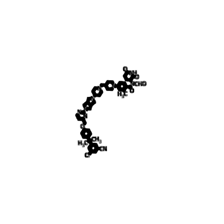 Cc1cc(N2CCC(CN3CCC(N4CC5CN(c6nccc(COc7ccc(C(C)(C)c8cc(Cl)cc(C#N)c8)cc7)n6)CC5C4)CC3)CC2)ccc1C(=O)N(C=O)C1CCC(=O)NC1=O